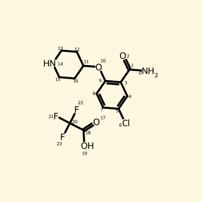 NC(=O)c1cc(Cl)ccc1OC1CCNCC1.O=C(O)C(F)(F)F